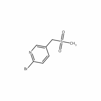 CS(=O)(=O)Cc1ccc(Br)nc1